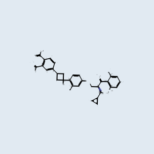 N=C(/C(COc1ccc(C2(O)CC(c3ccc(C(=O)O)c(C(=O)O)c3)C2)c(Cl)c1)=C(\O)C1CC1)c1c(Cl)cccc1Cl